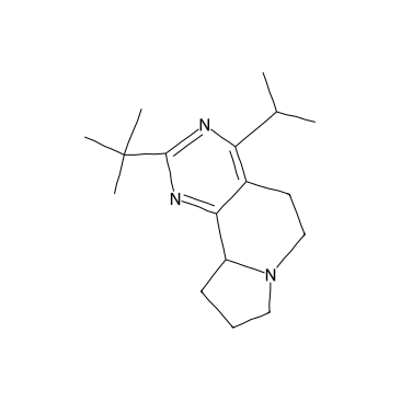 CC(C)c1nc(C(C)(C)C)nc2c1CCN1CCCC21